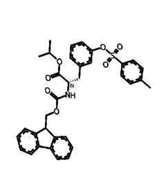 Cc1ccc(S(=O)(=O)Oc2cccc(C[C@H](NC(=O)OCC3c4ccccc4-c4ccccc43)C(=O)OC(C)C)c2)cc1